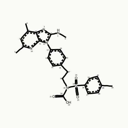 CNc1nc2c(C)cc(C)nc2n1-c1ccc(CCN(C(=O)O)S(=O)(=O)c2ccc(C)cc2)cc1